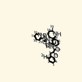 [2H]c1cccc2c1CC(C(=O)NC1(C(=O)N([C@H]3CC[C@@H](C)NCC3=O)S(=O)(=O)c3ccccn3)CCCCC1)O2